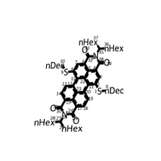 CCCCCCCCCCSc1cc2c3c(cc(SCCCCCCCCCC)c4c5ccc6c7c(ccc(c1c34)c75)C(=O)N(C(CCCCCC)CCCCCC)C6=O)C(=O)N(C(CCCCCC)CCCCCC)C2=O